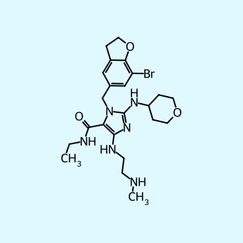 CCNC(=O)c1c(NCCNC)nc(NC2CCOCC2)n1Cc1cc(Br)c2c(c1)CCO2